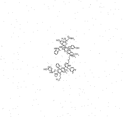 CCCC[C@@H](C(=O)N1CCC[C@@H]1C(=O)N[C@H](C=O)CC(=O)O)N(C)C(=O)[C@H](Cc1ccccc1)N(C)C(=O)[C@H](Cc1ccc(F)c(F)c1)NC(=O)CSCCNC(=O)[C@H](CC(C)C)NC(=O)[C@H](Cc1ccc(O)cc1)NC(=O)[C@H](Cc1c[nH]c2ccccc12)NC(=O)[C@H]1C[C@@H](O)CN1C(=O)[C@@H](N)CC(N)=O